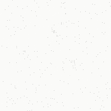 CCCS(=O)(=O)NC1CC(NC)C1